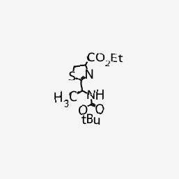 CCOC(=O)C1CSC(C(C)NC(=O)OC(C)(C)C)=N1